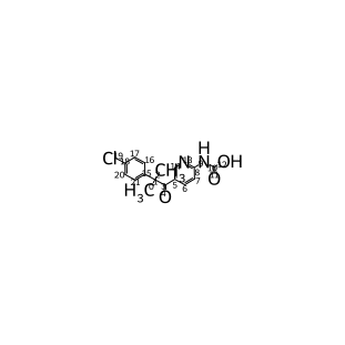 CC(C)(C(=O)c1ccc(NC(=O)O)nc1)c1ccc(Cl)cc1